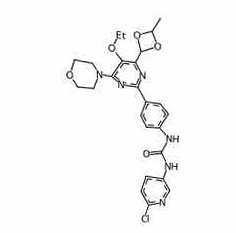 CCOc1c(C2OC(C)O2)nc(-c2ccc(NC(=O)Nc3ccc(Cl)nc3)cc2)nc1N1CCOCC1